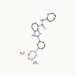 C[C@@H]1CN(c2cccc(-c3nc4c(C(=O)Nc5ccccn5)cccc4[nH]3)c2)C[C@H](C)O1